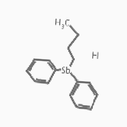 CCC[CH2][Sb]([c]1ccccc1)[c]1ccccc1.I